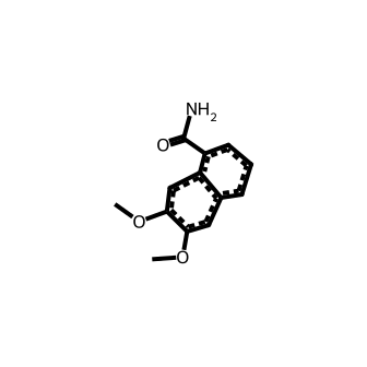 COc1cc2cccc(C(N)=O)c2cc1OC